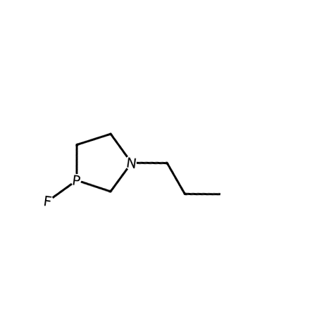 CCCN1CCP(F)C1